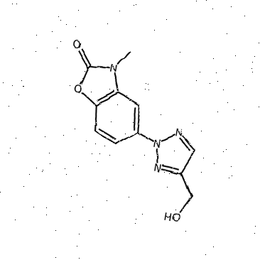 Cn1c(=O)oc2ccc(-n3ncc(CO)n3)cc21